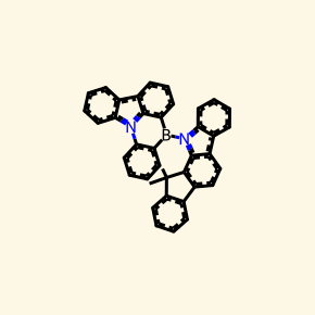 CC1(C)c2ccccc2-c2ccc3c4ccccc4n(B4c5ccccc5-n5c6ccccc6c6cccc4c65)c3c21